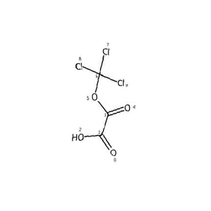 O=C(O)C(=O)OC(Cl)(Cl)Cl